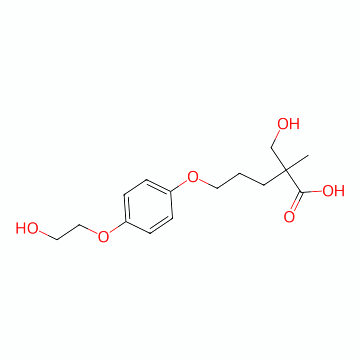 CC(CO)(CCCOc1ccc(OCCO)cc1)C(=O)O